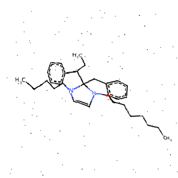 CCCCCCCCN1C=CN(CCCCC)C1(Cc1ccccc1)C(CC)c1ccccc1